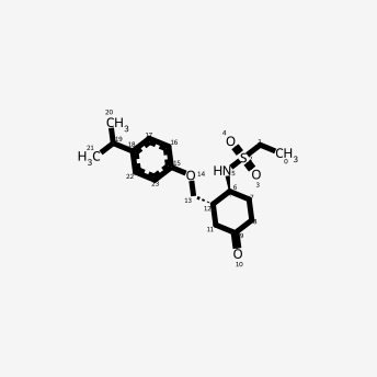 CCS(=O)(=O)N[C@H]1CCC(=O)C[C@@H]1COc1ccc(C(C)C)cc1